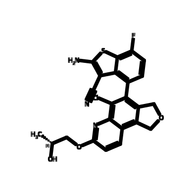 C[C@@H](O)COc1ccc2c3c(c(-c4ccc(F)c5sc(N)c(C#N)c45)c(Cl)c2n1)COC3